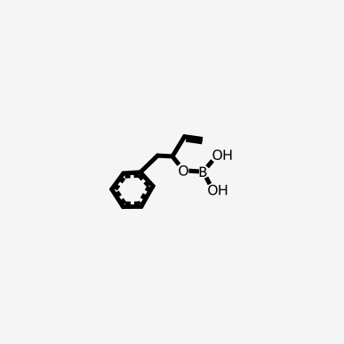 C=CC(Cc1ccccc1)OB(O)O